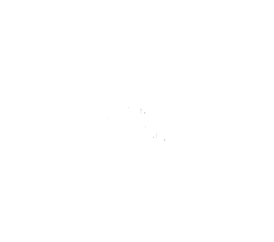 CN(C)C.Cl.[SiH4]